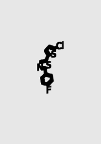 Fc1ccc(-c2ncc(-c3ccc(Cl)s3)s2)cc1